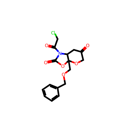 O=C1COC2(COCc3ccccc3)OC(=O)N(C(=O)CCl)C2C1